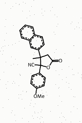 COc1ccc(C2(C#N)OC(=O)CC2(C)c2ccc3ccccc3c2)cc1